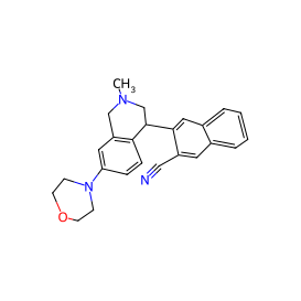 CN1Cc2cc(N3CCOCC3)ccc2C(c2cc3ccccc3cc2C#N)C1